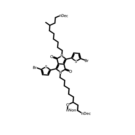 CCCCCCCCCCCCC(C)CCCCCCN1C(=O)C2=C(c3ccc(Br)s3)N(CCCCCCC(CCCCCCCCCCCC)OCCCCCCCCC)C(=O)C2=C1c1ccc(Br)s1